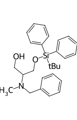 CN(Cc1ccccc1)C(CO)CO[Si](c1ccccc1)(c1ccccc1)C(C)(C)C